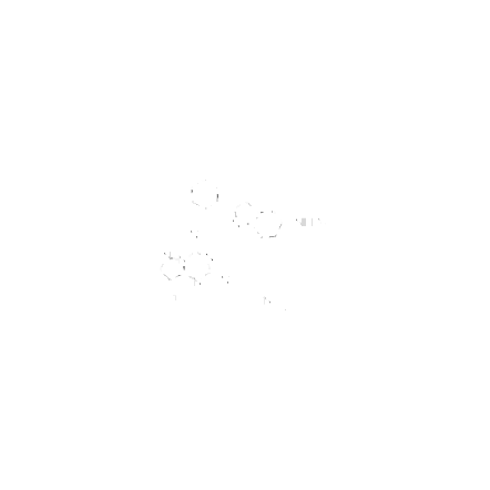 CC(=O)Nc1ccc2[nH]c(-c3ccccc3CNc3nc(N4CCC(N)CC4)nc4c(C(C)C)cnn34)cc2c1